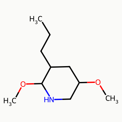 CCCC1CC(OC)CNC1OC